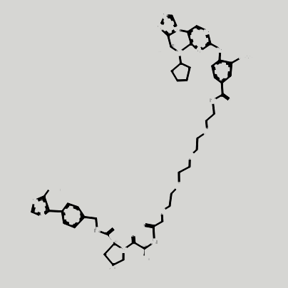 CC[C@@H]1c2nncn2-c2cnc(Nc3ccc(C(=O)NCCOCCOCCOCCOCC(=O)N[C@H](C(=O)N4C[C@H](O)C[C@H]4C(=O)NCc4ccc(-c5scnc5C)cc4)C(C)(C)C)cc3OC)nc2N1C1CCCC1